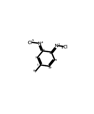 [CH2]C1=CC(=NCl)C(=NCl)C=C1